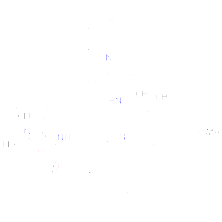 COc1ccc2c(c1)C(C)C(C)(NC(=O)C(=O)N1CCOCC1)Cn1c-2c(C2CCCCC2)c2ccc(C(=O)NS(=O)(=O)N(C)C)cc21